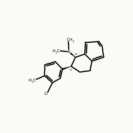 Cc1ccc([C@@H]2CCc3ccccc3[C@@H]2N(C)C)cc1Cl